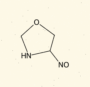 O=NC1COCN1